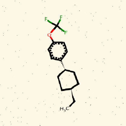 CC[C@H]1CC[C@H](c2ccc(OC(F)(F)F)cc2)CC1